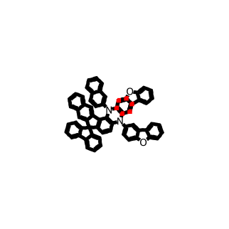 c1ccc(N(c2ccc3ccccc3c2)c2c(N(c3ccc4oc5ccccc5c4c3)c3ccc4oc5ccccc5c4c3)ccc3c2-c2cc4ccccc4cc2C32c3ccccc3-c3ccccc32)cc1